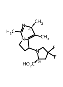 CC1=N[C@@H](C)C(C)=C2C(N3CC(F)(F)C[C@H]3C(=O)O)CCN12